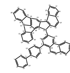 c1ccc(-c2ccc(-c3nc(-n4c5ccc6ccccc6c5c5cc6c7ccccc7n7c8ccccc8c(c54)c67)nc4c3ccc3ccccc34)cc2)cc1